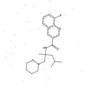 CC(C)CC(C)(CN1CCCCO1)NC(=O)c1cnc2c(F)cccc2c1